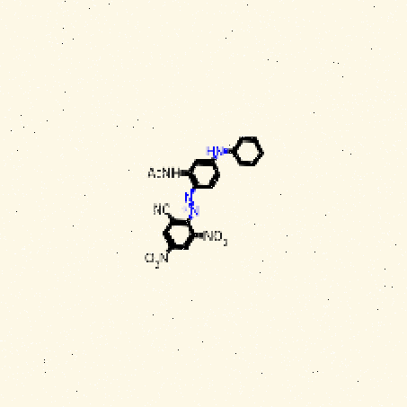 CC(=O)Nc1cc(NC2CCCCC2)ccc1/N=N/c1c(C#N)cc([N+](=O)[O-])cc1[N+](=O)[O-]